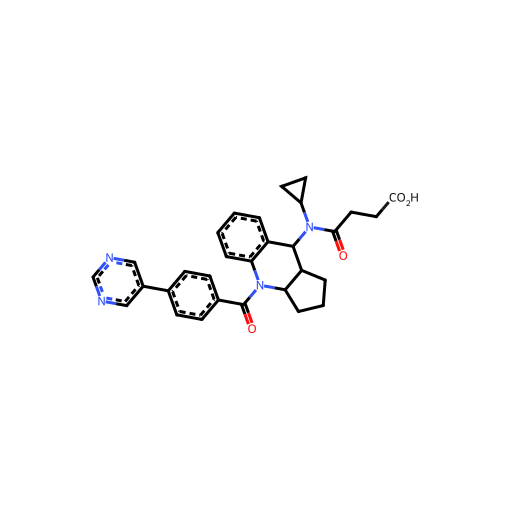 O=C(O)CCC(=O)N(C1CC1)C1c2ccccc2N(C(=O)c2ccc(-c3cncnc3)cc2)C2CCCC21